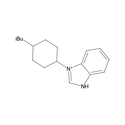 CCC(C)C1CCC([n+]2c[nH]c3ccccc32)CC1